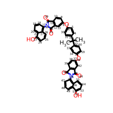 CC(C)(c1ccc(Oc2ccc3c(c2)C(=O)N(c2cccc4c(O)cccc24)C3=O)cc1)c1ccc(Oc2ccc3c(c2)C(=O)N(c2cccc4c(O)cccc24)C3=O)cc1